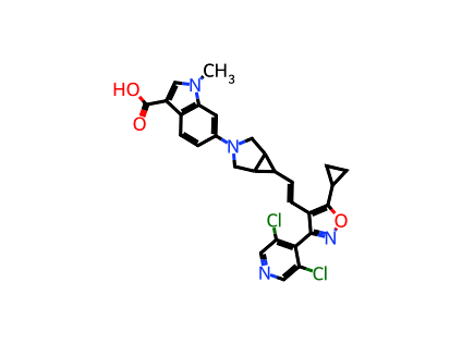 Cn1cc(C(=O)O)c2ccc(N3CC4C(C=Cc5c(-c6c(Cl)cncc6Cl)noc5C5CC5)C4C3)cc21